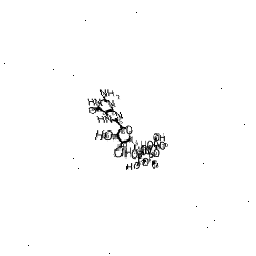 Nc1nc2nc(C3O[C@H](COP(=O)(O)OP(=O)(O)OP(=O)(O)O)[C@@H](O)[C@@H]3O)[nH]c2c(=O)[nH]1